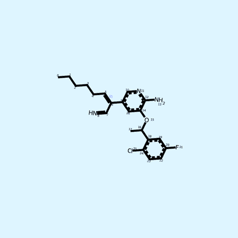 CCCCC/C=C(\C=N)c1cnc(N)c(OC(C)c2cc(F)ccc2Cl)c1